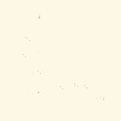 CC(C)c1ccc2c(C(=O)N[C@@H]3CN(c4ccc(C#N)nn4)C[C@H]3O)ncn2c1